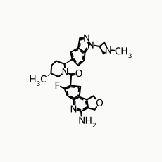 C[C@@H]1CC[C@@H](c2ccc3c(cnn3C3CN(C)C3)c2)N(C(=O)c2cc3c4c(c(N)nc3cc2F)COC4)C1